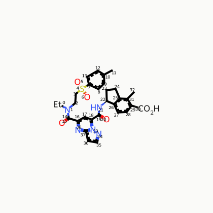 CCN(CCS(=O)(=O)c1ccc(C)cc1)C(=O)c1cc(C(=O)N[C@H]2CCc3c2ccc(C(=O)O)c3C)n2nccc2n1